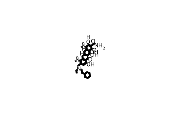 CCN(CCC1CCCCC1)Cc1cc(O)c2c(c1N(C)C)C[C@H]1C[C@H]3[C@H](N(C)C)C(O)=C(C(N)=O)C(=O)[C@@]3(O)C(O)=C1C2=O